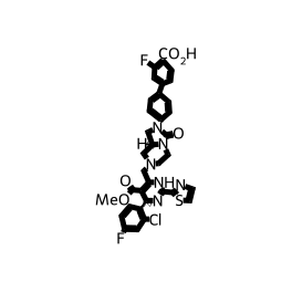 COC(=O)C1=C(CN2CCN3C(=O)N(c4ccc(-c5ccc(C(=O)O)c(F)c5)cc4)C[C@@H]3C2)NC(c2nccs2)=N[C@H]1c1ccc(F)cc1Cl